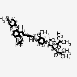 COc1cc(N(C=O)CC(COC(=O)C(C)C)OC(=O)C(C)C)ccc1NCC#Cc1cc2c(N[C@@H]3CCN(C)C[C@@H]3F)cccc2n1CC(F)(F)F